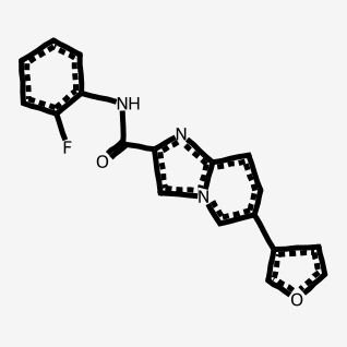 O=C(Nc1ccccc1F)c1cn2cc(-c3ccoc3)ccc2n1